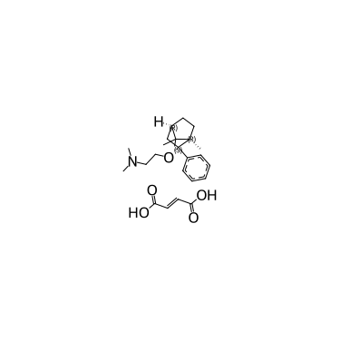 CN(C)CCO[C@]1(c2ccccc2)C[C@H]2CC[C@]1(C)C2(C)C.O=C(O)C=CC(=O)O